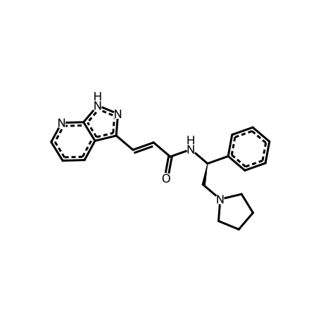 O=C(/C=C/c1n[nH]c2ncccc12)N[C@H](CN1CCCC1)c1ccccc1